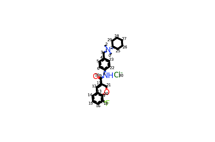 C[N+](C)(Cc1ccc(NC(=O)C2=Cc3cccc(F)c3OC2)cc1)C1CCCCC1.[Cl-]